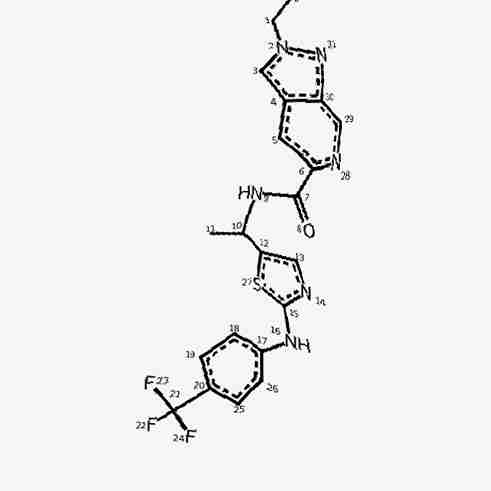 CCn1cc2cc(C(=O)NC(C)c3cnc(Nc4ccc(C(F)(F)F)cc4)s3)ncc2n1